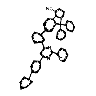 N#Cc1cccc2c1-c1ccc(-c3cccc(-c4cc(-c5ccc(-c6ccccc6)cc5)nc(-c5ccccc5)n4)c3)cc1C2(c1ccccc1)c1ccccc1